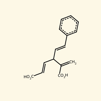 C=C(C(=O)O)C(C=CC(=O)O)C=Cc1ccccc1